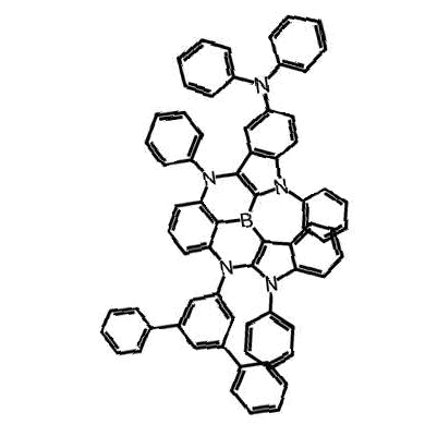 c1ccc(-c2cc(-c3ccccc3)cc(N3c4cccc5c4B(c4c3n(-c3ccccc3)c3ccccc43)c3c(c4cc(N(c6ccccc6)c6ccccc6)ccc4n3-c3ccccc3)N5c3ccccc3)c2)cc1